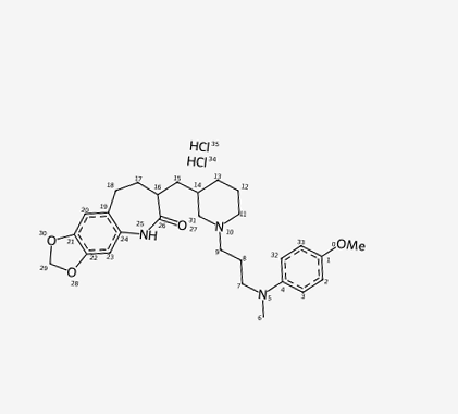 COc1ccc(N(C)CCCN2CCCC(CC3CCc4cc5c(cc4NC3=O)OCO5)C2)cc1.Cl.Cl